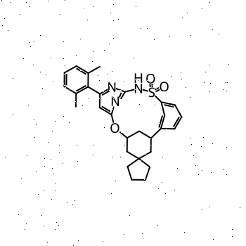 Cc1cccc(C)c1-c1cc2nc(n1)NS(=O)(=O)c1cccc(c1)C1CC(CC3(CCCC3)C1)O2